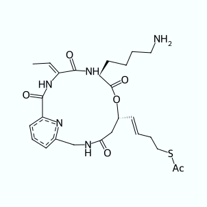 C/C=C1\NC(=O)c2cccc(n2)CNC(=O)C[C@@H](/C=C/CCSC(C)=O)OC(=O)[C@H](CCCCN)NC1=O